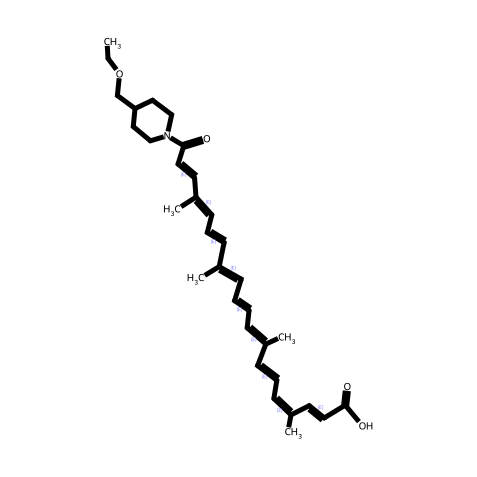 CCOCC1CCN(C(=O)/C=C/C(C)=C/C=C/C(C)=C/C=C/C=C(C)/C=C/C=C(C)\C=C\C(=O)O)CC1